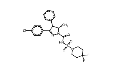 C[C@@H]1[C@H](c2ccccc2)C(c2ccc(Cl)cc2)=NN1C(=O)NS(=O)(=O)N1CCC(F)(F)CC1